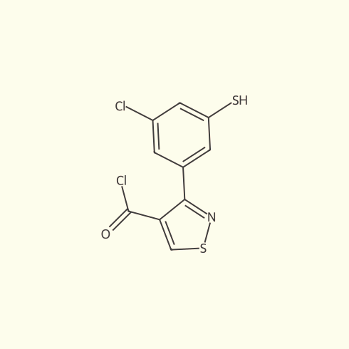 O=C(Cl)c1csnc1-c1cc(S)cc(Cl)c1